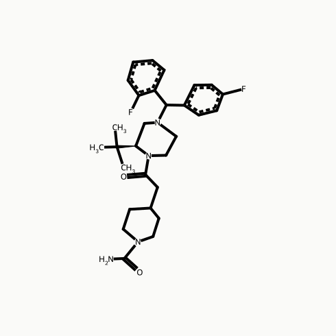 CC(C)(C)[C@H]1CN(C(c2ccc(F)cc2)c2ccccc2F)CCN1C(=O)CC1CCN(C(N)=O)CC1